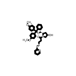 COc1ccc(C(OC[C@@H]2C[C@@H](O)CN2C(=O)CCSSc2ccccn2)(c2ccccc2)c2ccc(OC)cc2)cc1